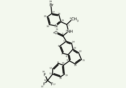 CC(NC(=O)c1ccc2c(-c3ccc(C(F)(F)F)cc3)cccc2c1)c1cc(Br)ccn1